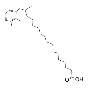 Cc1cccc(CC(C)CCCCCCCCCCCCCCC(=O)O)c1C